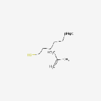 C=C(C)C(=O)O.CCCCCCCCCCCCS